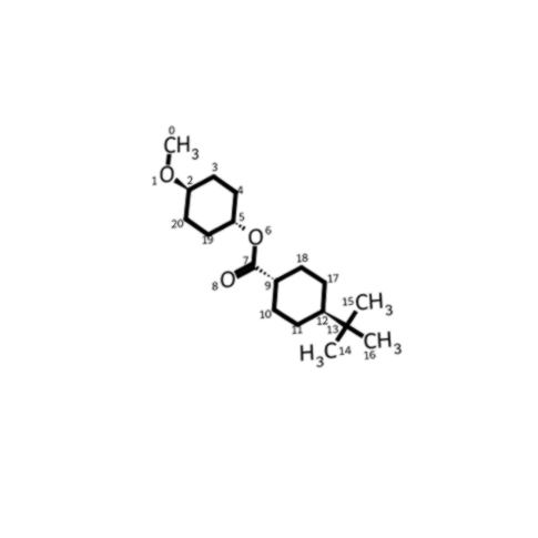 CO[C@H]1CC[C@H](OC(=O)[C@H]2CC[C@H](C(C)(C)C)CC2)CC1